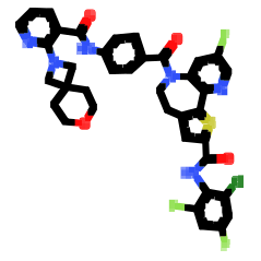 O=C(Nc1c(F)cc(F)cc1Cl)c1cc2c(s1)-c1ncc(F)cc1N(C(=O)c1ccc(NC(=O)c3cccnc3N3CC4(CCOCC4)C3)cc1)CC2